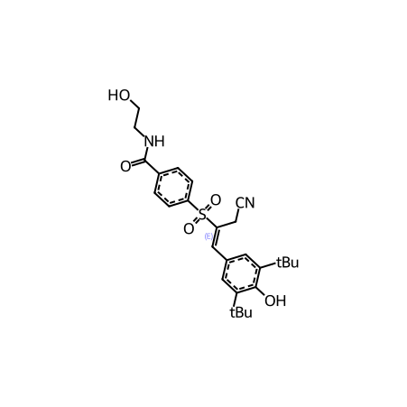 CC(C)(C)c1cc(/C=C(\CC#N)S(=O)(=O)c2ccc(C(=O)NCCO)cc2)cc(C(C)(C)C)c1O